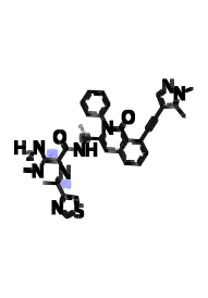 C=N/C(N)=C(\N=C(/C)c1cscn1)C(=O)N[C@H](C)c1cc2cccc(C#Cc3cnn(C)c3C)c2c(=O)n1-c1ccccc1